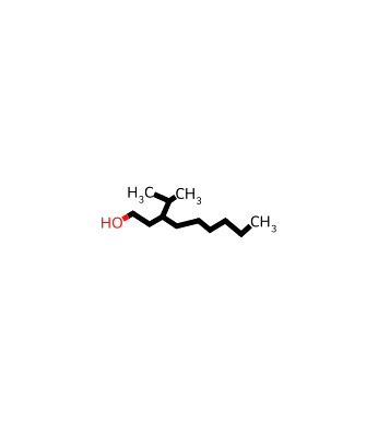 CCCCCCC(CCO)C(C)C